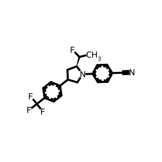 CC(F)[C@@H]1CC(c2ccc(C(F)(F)F)cc2)CN1c1ccc(C#N)cc1